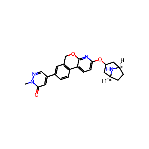 Cn1ncc(-c2ccc3c(c2)COc2nc(OC4C[C@H]5CC[C@@H](C4)N5)ccc2-3)cc1=O